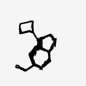 O=Cc1cc2c(cn1)ncn2C1CCC1